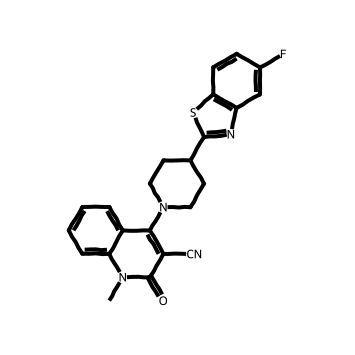 Cn1c(=O)c(C#N)c(N2CCC(c3nc4cc(F)ccc4s3)CC2)c2ccccc21